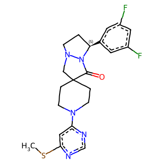 CSc1cc(N2CCC3(CC2)CN2CC[C@@H](c4cc(F)cc(F)c4)N2C3=O)ncn1